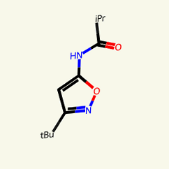 CC(C)C(=O)Nc1cc(C(C)(C)C)no1